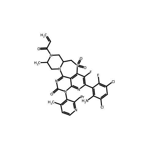 C=CC(=O)N1CC2CS(=O)(=O)c3c(F)c(-c4c(N)c(Cl)cc(Cl)c4F)nc4c3c(nc(=O)n4-c3c(C)ccnc3C(C)C)N2CC1C